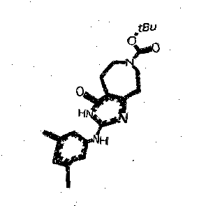 Cc1cc(C)cc(Nc2nc3c(c(=O)[nH]2)CCN(C(=O)OC(C)(C)C)CC3)c1